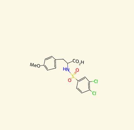 COc1ccc(CC(NS(=O)(=O)c2ccc(Cl)c(Cl)c2)C(=O)O)cc1